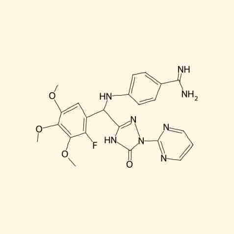 COc1cc(C(Nc2ccc(C(=N)N)cc2)c2nn(-c3ncccn3)c(=O)[nH]2)c(F)c(OC)c1OC